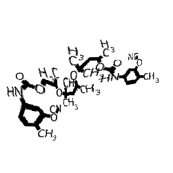 Cc1ccc(NC(=O)OCC(C)OC(C)(C)CC(C)OC(C)(C)CC(C)OC(=O)Nc2ccc(C)c(OC#N)c2)cc1OC#N